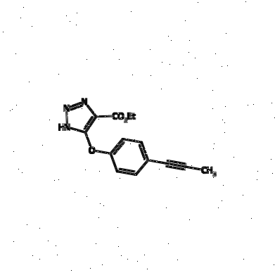 CC#Cc1ccc(Oc2[nH]nnc2C(=O)OCC)cc1